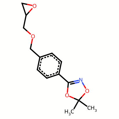 CC1(C)ON=C(c2ccc(COCC3CO3)cc2)O1